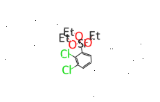 CCO[Si](OCC)(OCC)c1cccc(Cl)c1Cl